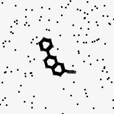 COc1ccc2c(c1)C=C(c1ccccc1)CC2